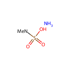 CNS(=O)(=O)O.N